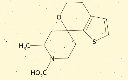 CC1CC2(CCN1C(=O)O)OCCc1ccsc12